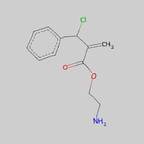 C=C(C(=O)OCCN)C(Cl)c1ccccc1